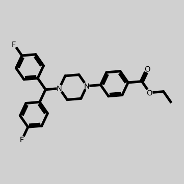 CCOC(=O)c1ccc(N2CCN(C(c3ccc(F)cc3)c3ccc(F)cc3)CC2)cc1